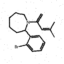 C=C(C=C(C)C)N1CCCCCC1c1ccccc1Br